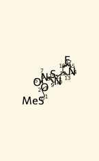 CSCCOC(=O)N(C)c1cnc(-c2cncc(F)c2)s1